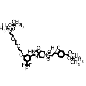 Cc1cc(C(=O)OC(C)(C)C)ccc1CCS(=O)(=O)N1CCC2(CC1)N=C(c1cc(OCCOCCOCCN(C)OC(C)(C)C)cc(C(F)(F)F)c1)NC2=O